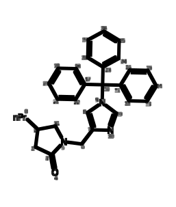 CCCC1CC(=O)N(Cc2cn(C(c3ccccc3)(c3ccccc3)c3ccccc3)cn2)C1